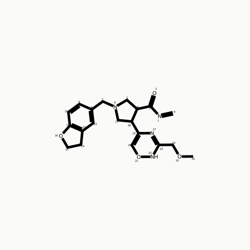 C=NC(=O)C1CN(Cc2ccc3c(c2)CCO3)CC1C1=CONC(COC)=N1